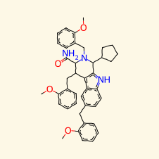 COc1ccccc1Cc1ccc2[nH]c3c(c2c1)C(Cc1ccccc1OC)C(C(N)=O)N(Cc1ccccc1OC)C3C1CCCC1